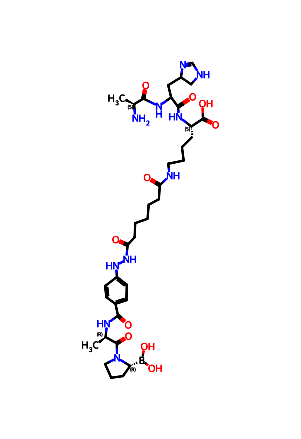 C[C@H](N)C(=O)NC(CC1CNC=N1)C(=O)N[C@@H](CCCCNC(=O)CCCCCC(=O)NNc1ccc(C(=O)N[C@H](C)C(=O)N2CCC[C@H]2B(O)O)cc1)C(=O)O